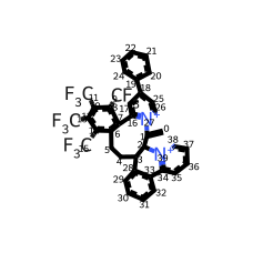 C=C1C2C(CCc3c(c(C(F)(F)F)c(C(F)(F)F)c(C(F)(F)F)c3C(F)(F)F)-c3cc(-c4ccccc4)cc[n+]31)c1ccccc1-c1cccc[n+]12